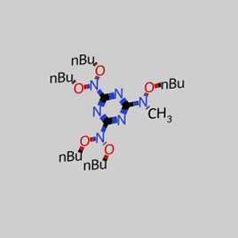 CCCCON(C)c1nc(N(OCCCC)OCCCC)nc(N(OCCCC)OCCCC)n1